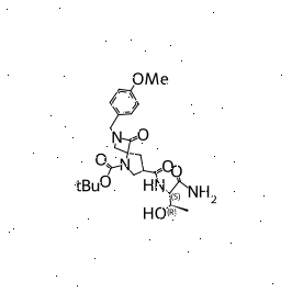 COc1ccc(CN2CC3(CC(C(=O)N[C@H](C(N)=O)[C@@H](C)O)CN3C(=O)OC(C)(C)C)C2=O)cc1